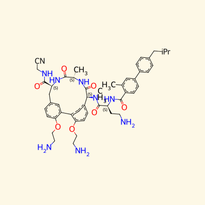 Cc1cc(-c2ccc(CC(C)C)cc2)ccc1C(=O)N[C@@H](CCN)C(=O)N(C)[C@@H]1C(=O)N[C@@H](C)C(=O)N[C@H](C(=O)NCC#N)Cc2ccc(OCCN)c(c2)-c2cc1ccc2OCCN